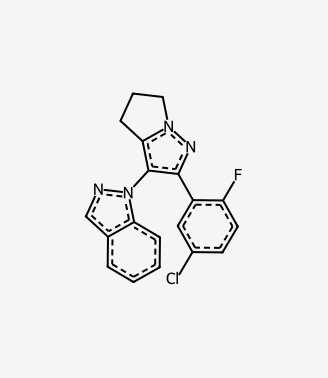 Fc1ccc(Cl)cc1-c1nn2c(c1-n1ncc3ccccc31)CCC2